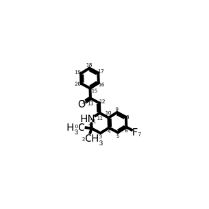 CC1(C)Cc2cc(F)ccc2C(=CC(=O)c2ccccc2)N1